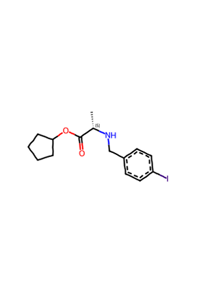 C[C@H](NCc1ccc(I)cc1)C(=O)OC1CCCC1